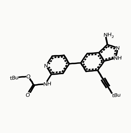 CC(C)(C)C#Cc1cc(-c2ccnc(NC(=O)OC(C)(C)C)c2)cc2c(N)n[nH]c12